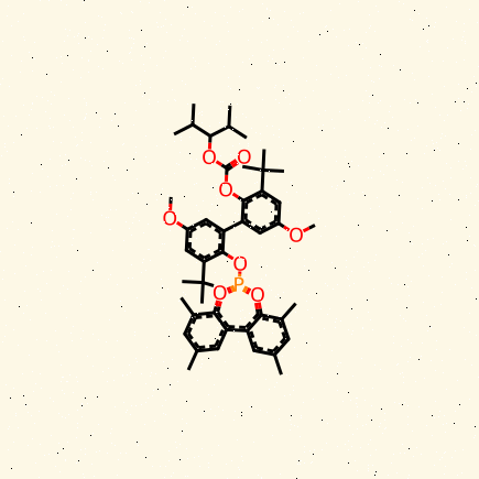 COc1cc(-c2cc(OC)cc(C(C)(C)C)c2Op2oc3c(C)cc(C)cc3c3cc(C)cc(C)c3o2)c(OC(=O)OC(C(C)C)C(C)C)c(C(C)(C)C)c1